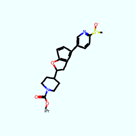 CC(C)OC(=O)N1CCC(C2Cc3cc(-c4ccc([S+](C)[O-])nc4)ccc3O2)CC1